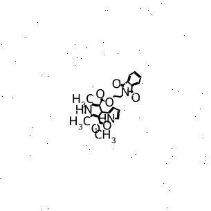 COC(=O)C1=C(C)NC(C)=C(C(=O)OCCN2C(=O)c3ccccc3C2=O)C1c1ccc[nH]1